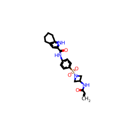 C=CC(=O)NC1CN(S(=O)(=O)c2ccc(NC(=O)c3cc4c([nH]3)CCCC4)cc2)C1